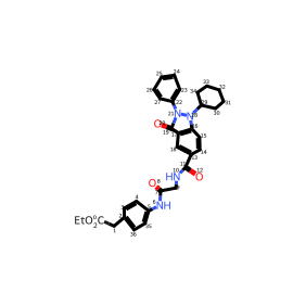 CCOC(=O)Cc1ccc(NC(=O)CNC(=O)c2ccc3c(c2)c(=O)n(-c2ccccc2)n3C2CCCCC2)cc1